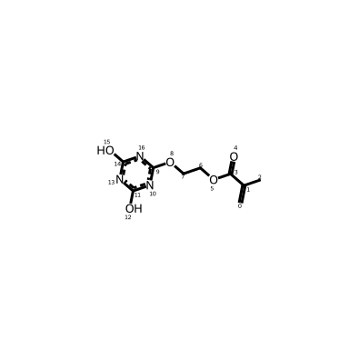 C=C(C)C(=O)OCCOc1nc(O)nc(O)n1